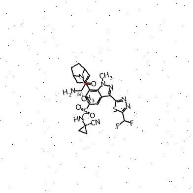 C[C@H](N)C(=O)N1C2C=C(c3cc(S(=O)(=O)NC4(C#N)CC4)cc4c(-c5nnc(C(F)F)s5)nn(C)c34)CC1CC2